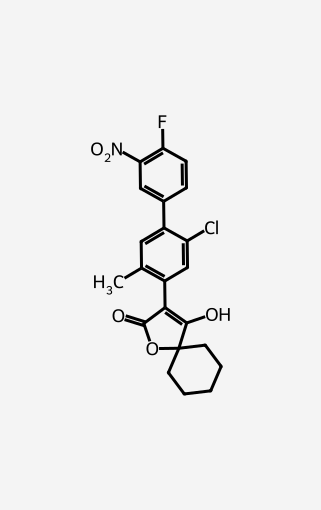 Cc1cc(-c2ccc(F)c([N+](=O)[O-])c2)c(Cl)cc1C1=C(O)C2(CCCCC2)OC1=O